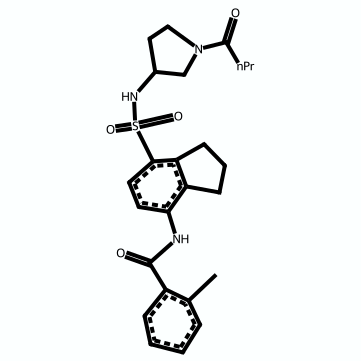 CCCC(=O)N1CCC(NS(=O)(=O)c2ccc(NC(=O)c3ccccc3C)c3c2CCC3)C1